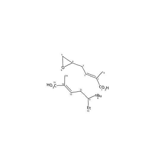 C/C(=C\CC1CO1)C(=O)O.CCCCC(CC)C/C=C(\C)C(=O)O